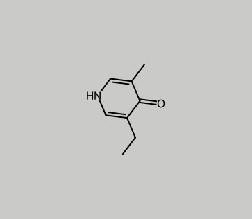 CCc1c[nH]cc(C)c1=O